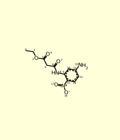 CCOC(=O)CC(=O)Nc1cc(N)ccc1[N+](=O)[O-]